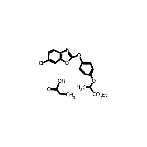 CCC(=O)O.CCOC(=O)C(C)Oc1ccc(Oc2nc3ccc(Cl)cc3o2)cc1